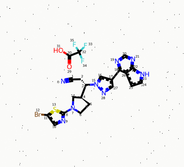 N#CC[C@@H]([C@H]1CCN(c2ncc(Br)s2)C1)n1cc(-c2ncnc3[nH]ccc23)cn1.O=C(O)C(F)(F)F